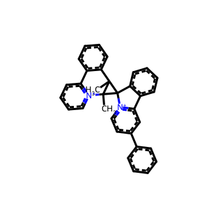 CC12c3ccccc3-c3cccc[n+]3C1(C)C21c2ccccc2-c2cc(-c3ccccc3)cc[n+]21